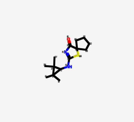 CC1(C)C(NC2=NC(=O)C3(CCCC3)S2)C1(C)C